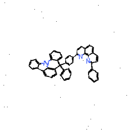 c1ccc(-c2ccc3ccc4ccc(-c5ccc(C6(c7ccccc7)c7ccccc7-n7c8ccccc8c8cccc6c87)cc5)nc4c3n2)cc1